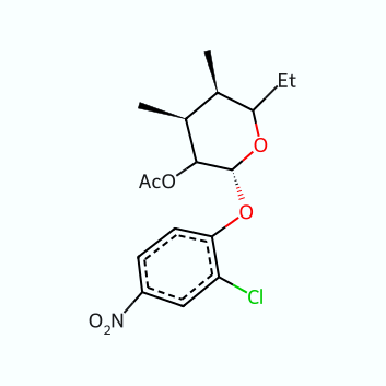 CCC1O[C@H](Oc2ccc([N+](=O)[O-])cc2Cl)C(OC(C)=O)[C@@H](C)[C@H]1C